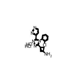 Cl.Cl.NC12CC(c3nnc(-c4ccncn4)n3-c3ccccc3Cl)(C1)C2